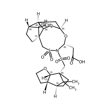 CC1(C)[C@@H]2CC[C@]13CS(=O)(=O)N(S(=O)(=O)C[C@@]14CC[C@@H]([C@@H]5CCO[C@@H]51)C4(C)C)[C@@H](CC(=O)O)O[C@@H]1C[C@H]2[C@H]3O1